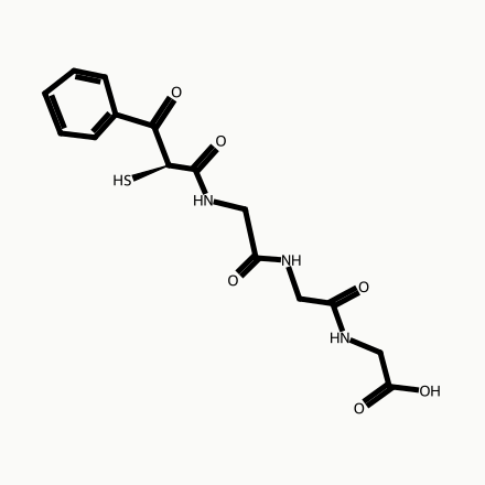 O=C(O)CNC(=O)CNC(=O)CNC(=O)[C@@H](S)C(=O)c1ccccc1